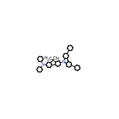 CC1(C)c2cc(N(c3ccccc3)c3ccccc3)ccc2-c2ccc(-n3c4ccc(-c5ccccc5)cc4c4cc(-c5ccccc5)ccc43)cc21